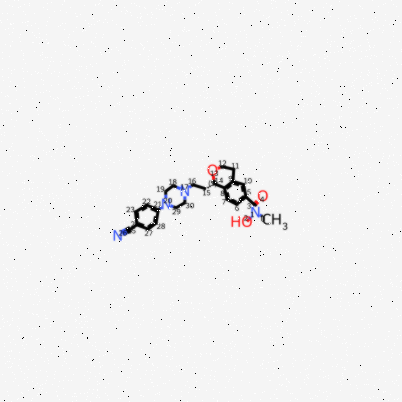 CN(O)C(=O)c1ccc2c(c1)CCO[C@H]2CCN1CCN(c2ccc(C#N)cc2)CC1